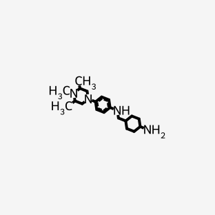 CC1CN(c2ccc(NCC3CCC(N)CC3)cc2)CC(C)N1C